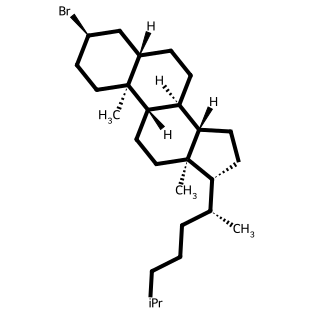 CC(C)CCC[C@@H](C)[C@H]1CC[C@H]2[C@@H]3CC[C@H]4C[C@H](Br)CC[C@]4(C)[C@H]3CC[C@]12C